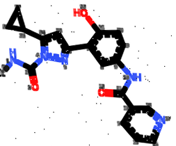 CCNC(=O)n1nc(-c2cc(NC(=O)c3cccnc3)ccc2O)cc1C1CC1